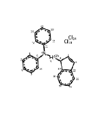 C1=C[CH]([Hf+2][N](c2ccccc2)c2ccccc2)c2ccccc21.[Cl-].[Cl-]